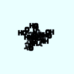 CC(C)CN[C@@H](CCC(=O)O)C(=O)N[C@@H](CCCO)C(=O)N[C@@H](CCC(=O)O)C(=O)N[C@@H](C)C(=O)N[C@H](C(=O)C(C)(C)C)C(C)C